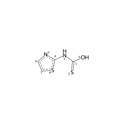 OC(=S)Nc1nccs1